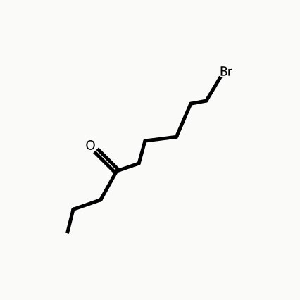 CCCC(=O)CCCCCBr